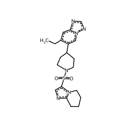 CCc1cc2ncnn2cc1C1CCN(S(=O)(=O)c2cnc3n2CCCC3)CC1